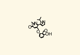 CC(C)n1nccc1-c1nn(C)c(=O)cc1COc1cccc(O)c1C=O